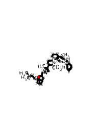 Cc1c(Nc2nc3ccccc3s2)nnc2c1CCCN2c1ccc(-c2cnn(CC34CC5CC6CC(OCCN(C)C)(C3)C56C4)c2C)c(C(=O)O)n1